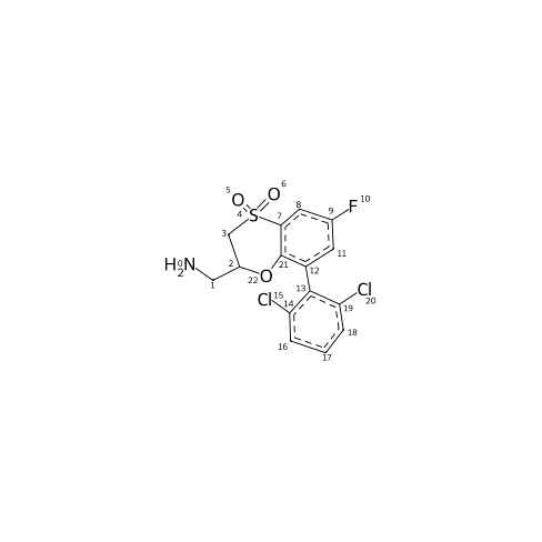 NCC1CS(=O)(=O)c2cc(F)cc(-c3c(Cl)cccc3Cl)c2O1